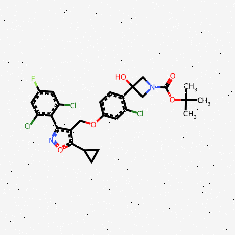 CC(C)(C)OC(=O)N1CC(O)(c2ccc(OCc3c(-c4c(Cl)cc(F)cc4Cl)noc3C3CC3)cc2Cl)C1